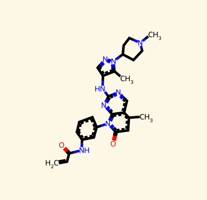 C=CC(=O)Nc1cccc(-n2c(=O)cc(C)c3cnc(Nc4cnn(C5CCN(C)CC5)c4C)nc32)c1